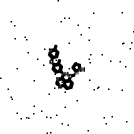 Cc1ccc(Oc2ccc(Nc3ncnc4cccc(OC[C@@H]5CCCN5)c34)cc2C)cn1